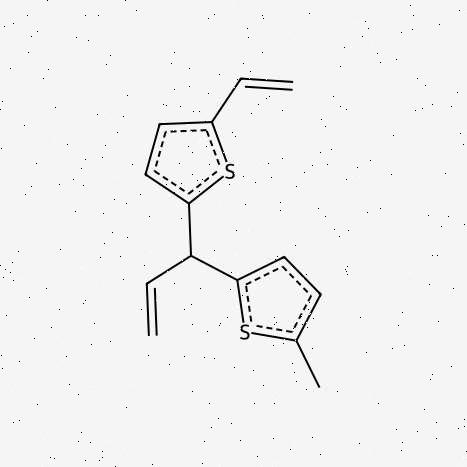 C=Cc1ccc(C(C=C)c2ccc(C)s2)s1